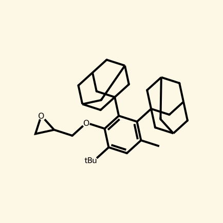 Cc1cc(C(C)(C)C)c(OCC2CO2)c(C23CC4CC(CC(C4)C2)C3)c1C12CC3CC(CC(C3)C1)C2